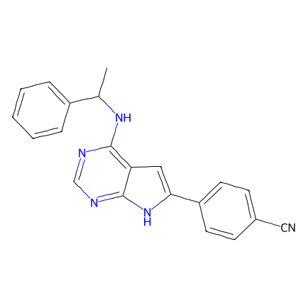 CC(Nc1ncnc2[nH]c(-c3ccc(C#N)cc3)cc12)c1ccccc1